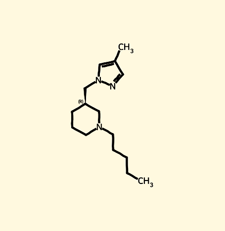 CCCCCN1CCC[C@@H](Cn2cc(C)cn2)C1